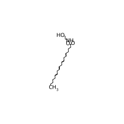 CCCCCC=CCC=CCC=CCC=CCCCC(=O)ONCCO